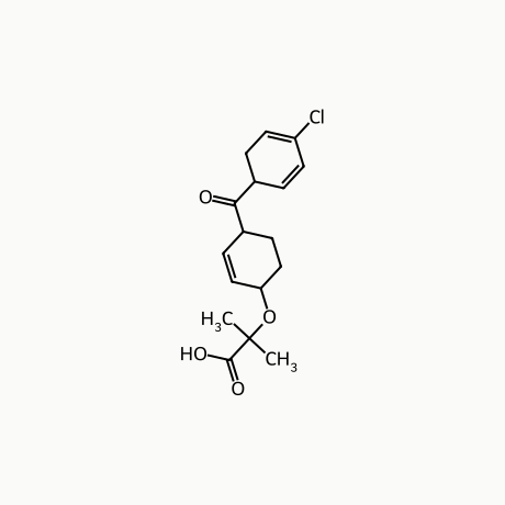 CC(C)(OC1C=CC(C(=O)C2C=CC(Cl)=CC2)CC1)C(=O)O